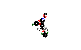 CC(C)(C)OC(=O)N1CCC(c2ccc(C(OCc3c(F)cccc3F)(C(F)(F)F)C(F)(F)F)cc2)(S(=O)(=O)c2ccc(F)cc2)CC1